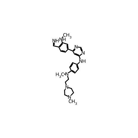 CNc1cc(-c2cc(Nc3ccc(N(C)CCN4CCN(C)CC4)cc3)ncn2)ccc1C=N